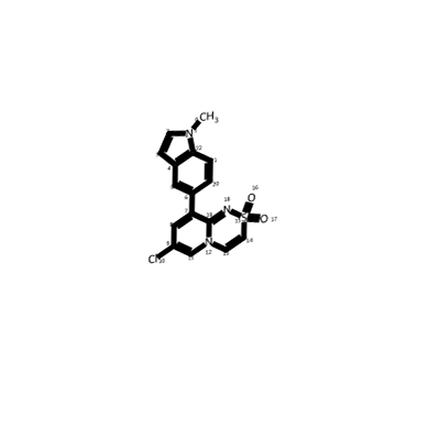 Cn1ccc2cc(C3=CC(Cl)=CN4C=CS(=O)(=O)N=C34)ccc21